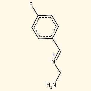 NC/N=C/c1ccc(F)cc1